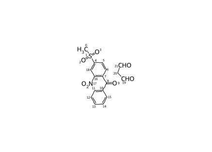 CS(=O)(=O)c1ccc(C(=O)c2ccccc2)c([N+](=O)[O-])c1.O=CCC=O